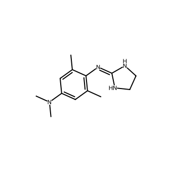 Cc1cc(N(C)C)cc(C)c1N=C1NCCN1